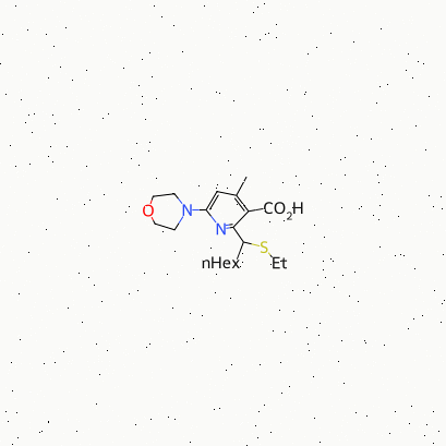 CCCCCCC(SCC)c1nc(N2CCOCC2)cc(C)c1C(=O)O